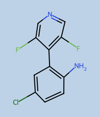 Nc1ccc(Cl)cc1-c1c(F)cncc1F